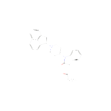 CNC(=O)C[C@@H]1C(=O)N(C2CCN(C3Cc4cccc5cccc3c45)CC2)c2ccccc21